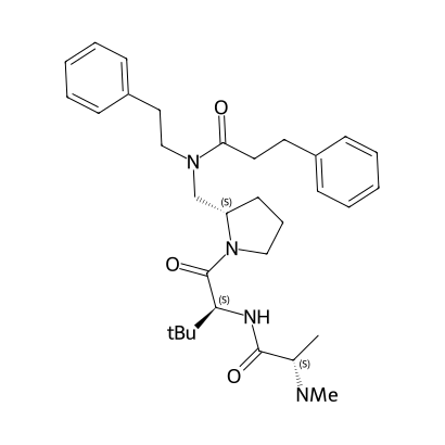 CN[C@@H](C)C(=O)N[C@H](C(=O)N1CCC[C@H]1CN(CCc1ccccc1)C(=O)CCc1ccccc1)C(C)(C)C